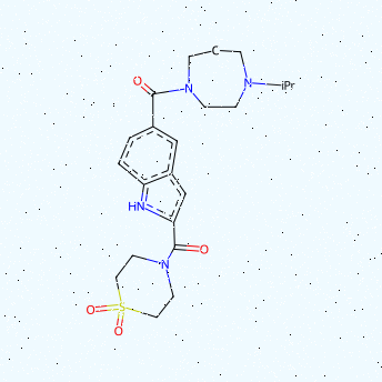 CC(C)N1CCCN(C(=O)c2ccc3[nH]c(C(=O)N4CCS(=O)(=O)CC4)cc3c2)CC1